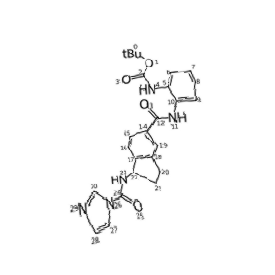 CC(C)(C)OC(=O)Nc1ccccc1NC(=O)c1ccc2c(c1)CCC2NC(=O)n1ccnc1